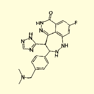 CN(C)Cc1ccc(C2NNc3cc(F)cc4c(=O)[nH]nc(c34)C2c2ncn[nH]2)cc1